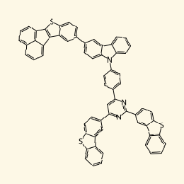 c1cc2c3c(cccc3c1)-c1c-2sc2ccc(-c3ccc4c(c3)c3ccccc3n4-c3ccc(-c4cc(-c5ccc6sc7ccccc7c6c5)nc(-c5ccc6sc7ccccc7c6c5)n4)cc3)cc12